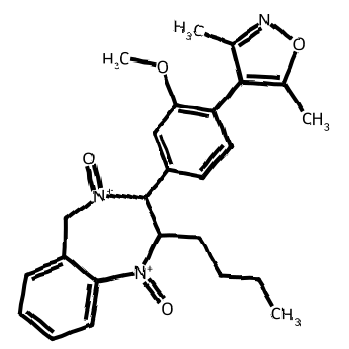 CCCCC1C(c2ccc(-c3c(C)noc3C)c(OC)c2)[N+](=O)Cc2ccccc2[N+]1=O